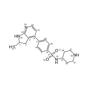 CC1Cc2c(-c3ccc(S(=O)(=O)NC4CCNCC4)cc3)ccnc2N1